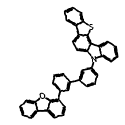 c1cc(-c2cccc(-n3c4ccccc4c4c5sc6ccccc6c5ccc43)c2)cc(-c2cccc3c2oc2ccccc23)c1